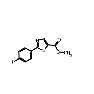 COC(=O)c1cnc(-c2ccc(F)cc2)s1